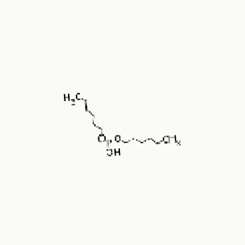 CCCCCCOP(O)OCCCCCC